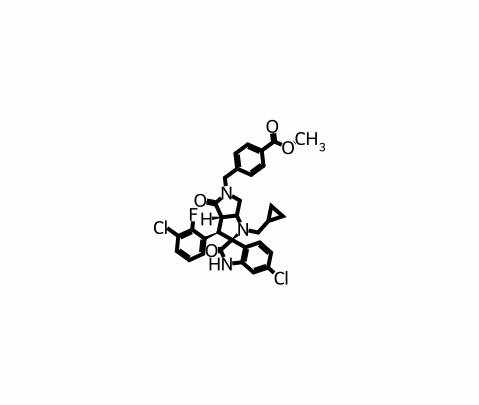 COC(=O)c1ccc(CN2CC3[C@@H](C2=O)[C@H](c2cccc(Cl)c2F)[C@]2(C(=O)Nc4cc(Cl)ccc42)N3CC2CC2)cc1